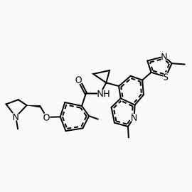 Cc1ccc2c(C3(NC(=O)c4cc(OC[C@@H]5CCN5C)ccc4C)CC3)cc(-c3cnc(C)s3)cc2n1